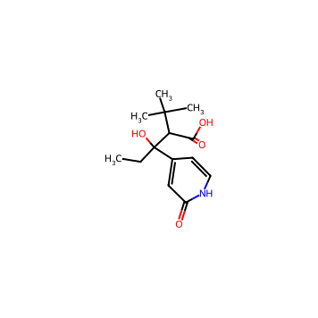 CCC(O)(c1cc[nH]c(=O)c1)C(C(=O)O)C(C)(C)C